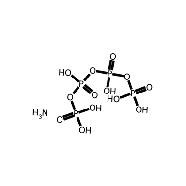 N.O=P(O)(O)OP(=O)(O)OP(=O)(O)OP(=O)(O)O